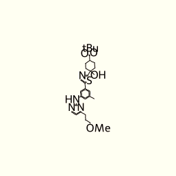 COCCCc1ccnc(Nc2cc(C)cc(-c3cnc(C4(O)CCC(C(=O)OC(C)(C)C)CC4)s3)c2)n1